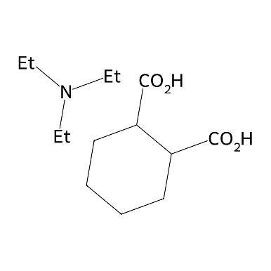 CCN(CC)CC.O=C(O)C1CCCCC1C(=O)O